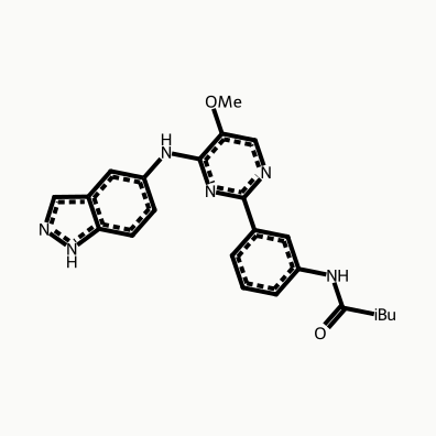 CCC(C)C(=O)Nc1cccc(-c2ncc(OC)c(Nc3ccc4[nH]ncc4c3)n2)c1